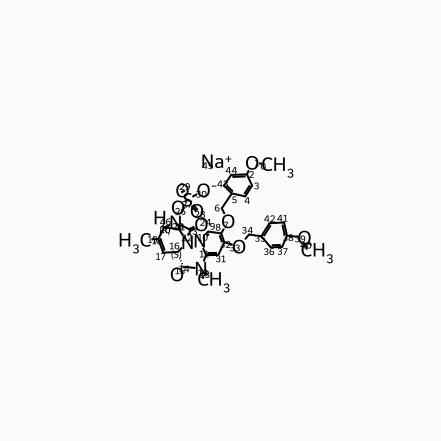 COc1ccc(COc2cnc(N(C)C(=O)[C@@H]3C=C(C)[C@@H]4CN3C(=O)N4OS(=O)(=O)[O-])cc2OCc2ccc(OC)cc2)cc1.[Na+]